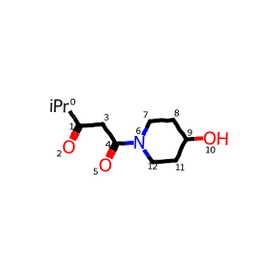 CC(C)C(=O)CC(=O)N1CCC(O)CC1